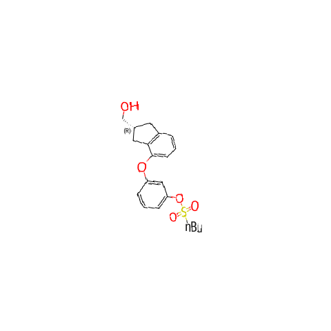 CCCCS(=O)(=O)Oc1cccc(Oc2cccc3c2C[C@H](CO)C3)c1